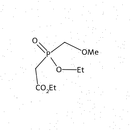 CCOC(=O)CP(=O)(COC)OCC